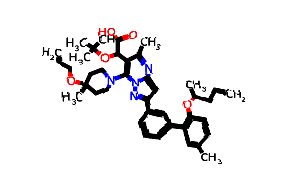 C=CCOC1(C)CCN(c2c(C(OC(C)(C)C)C(=O)O)c(C)nc3cc(-c4cccc(-c5cc(C)ccc5OC(C)CC=C)c4)nn23)CC1